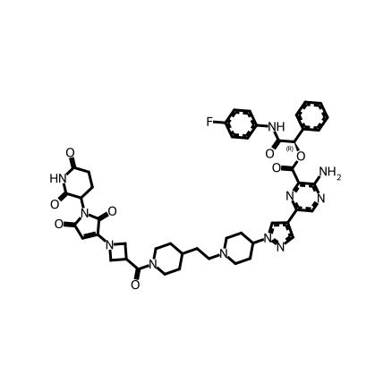 Nc1ncc(-c2cnn(C3CCN(CCC4CCN(C(=O)C5CN(C6=CC(=O)N(C7CCC(=O)NC7=O)C6=O)C5)CC4)CC3)c2)nc1C(=O)O[C@@H](C(=O)Nc1ccc(F)cc1)c1ccccc1